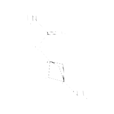 NC(=O)OC12CC(N)(C1)C2